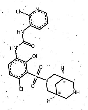 O=C(Nc1cccnc1Cl)Nc1ccc(Cl)c(S(=O)(=O)N2C[C@@H]3CNC[C@@H](C3)C2)c1O